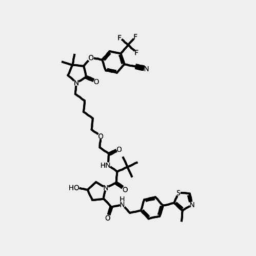 Cc1ncsc1-c1ccc(CNC(=O)C2CC(O)CN2C(=O)C(NC(=O)COCCCCCN2CC(C)(C)C(Oc3ccc(C#N)c(C(F)(F)F)c3)C2=O)C(C)(C)C)cc1